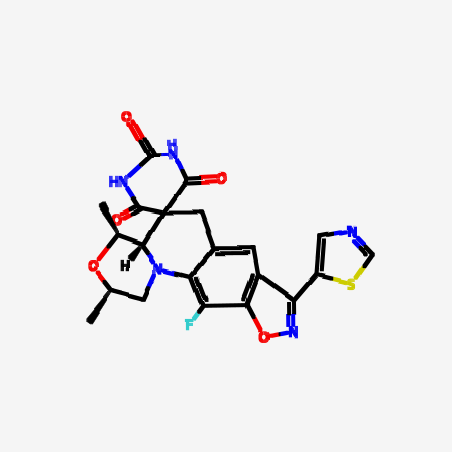 C[C@@H]1CN2c3c(cc4c(-c5cncs5)noc4c3F)CC3(C(=O)NC(=O)NC3=O)[C@H]2[C@H](C)O1